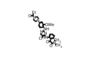 CCC(=O)N1CCN(c2ccc(Nc3ncc(Cl)c(Nc4ccccc4C(=O)C(=O)N(C)C)n3)c(OC)c2)CC1